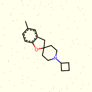 Cc1ccc2c(c1)CC1(CCN(C3CCC3)CC1)O2